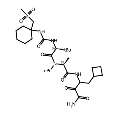 CCCN(C(=O)[C@@H](NC(=O)NC1(CS(C)(=O)=O)CCCCC1)C(C)(C)C)[C@@H](C)C(=O)NC(CC1CCC1)C(=O)C(N)=O